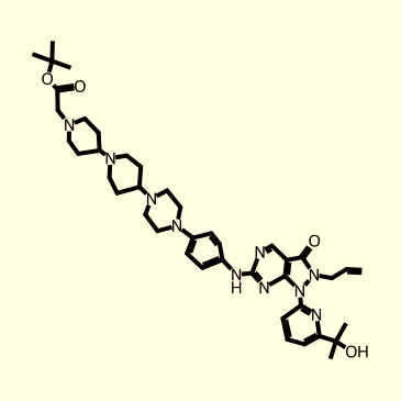 C=CCn1c(=O)c2cnc(Nc3ccc(N4CCN(C5CCN(C6CCN(CC(=O)OC(C)(C)C)CC6)CC5)CC4)cc3)nc2n1-c1cccc(C(C)(C)O)n1